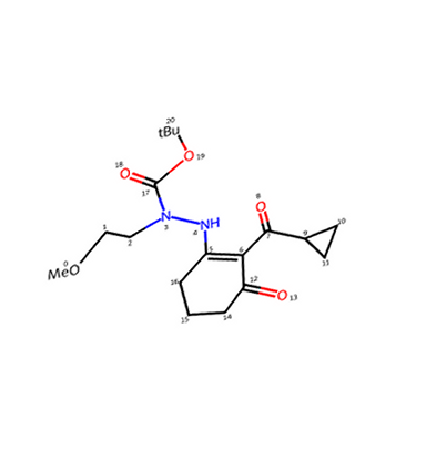 COCCN(NC1=C(C(=O)C2CC2)C(=O)CCC1)C(=O)OC(C)(C)C